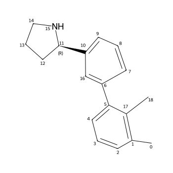 Cc1cccc(-c2cccc([C@H]3CCCN3)c2)c1C